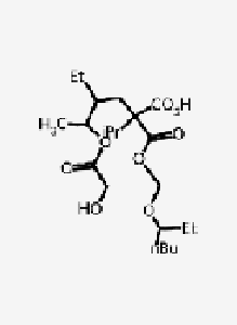 CCCCC(CC)OCOC(=O)C(CC(CC)C(C)OC(=O)CO)(C(=O)O)C(C)C